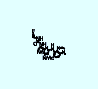 C=Nc1cccc(Nc2cc(NC)n3ncc(NC(=O)N[C@@H]4C[C@@H]4F)c3n2)c1/N=C\C